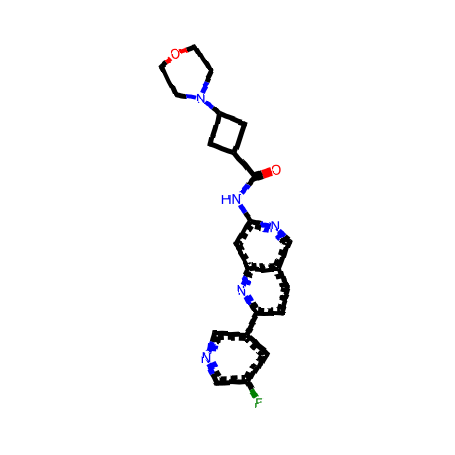 O=C(Nc1cc2nc(-c3cncc(F)c3)ccc2cn1)C1CC(N2CCOCC2)C1